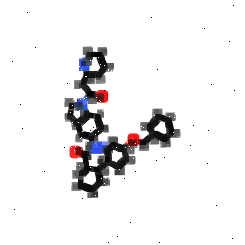 O=C(Nc1ccc2c(c1)CCN2C(=O)Cc1ccccn1)c1ccccc1-c1ccc(OCc2ccccc2)cc1